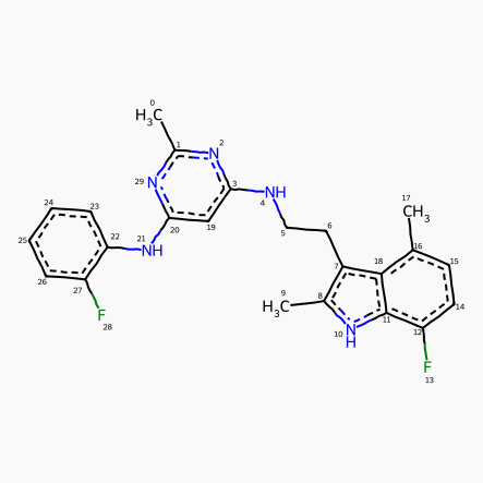 Cc1nc(NCCc2c(C)[nH]c3c(F)ccc(C)c23)cc(Nc2ccccc2F)n1